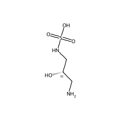 NC[C@H](O)CNS(=O)(=O)O